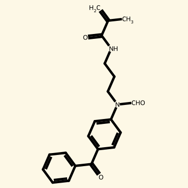 C=C(C)C(=O)NCCCN(C=O)c1ccc(C(=O)c2ccccc2)cc1